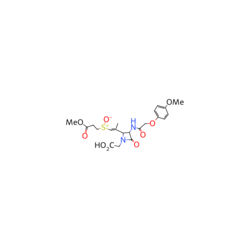 COC(=O)CC[S+]([O-])C=C(C)C1C(NC(=O)COc2ccc(OC)cc2)C(=O)N1CC(=O)O